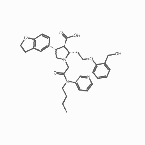 CCCCN(C(=O)CN1C[C@H](c2ccc3c(c2)CCO3)[C@@H](C(=O)O)[C@@H]1CCOc1ccccc1CO)c1cccnc1